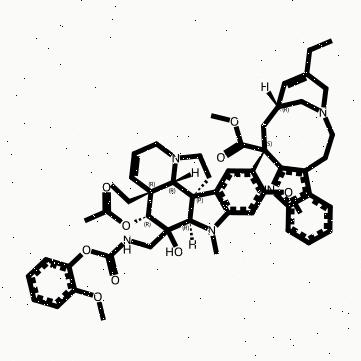 CCC1=C[C@@H]2CN(CCc3c([nH]c4ccccc34)[C@@](C(=O)OC)(c3cc4c(cc3OC)N(C)[C@H]3C(O)(CNC(=O)Oc5ccccc5OC)[C@H](OC(C)=O)[C@]5(CC)C=CCN6CC[C@]43[C@@H]65)C2)C1